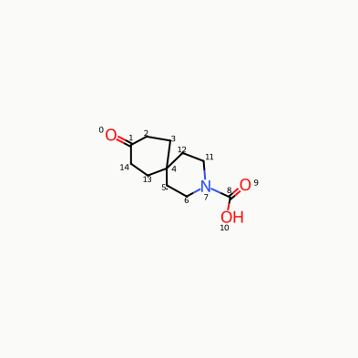 O=C1CCC2([CH]CN(C(=O)O)CC2)CC1